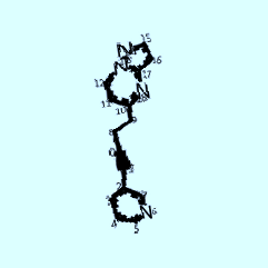 C(#Cc1cccnc1)CCc1ccn2nccc2n1